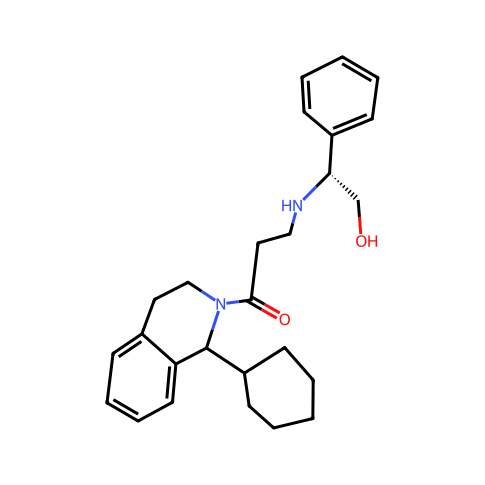 O=C(CCN[C@@H](CO)c1ccccc1)N1CCc2ccccc2C1C1CCCCC1